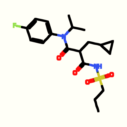 CCCS(=O)(=O)NC(=O)C(CC1CC1)C(=O)N(c1ccc(F)cc1)C(C)C